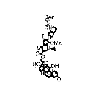 COc1c(N2CC3CCCN(C(=O)OCOC(C)=O)C3C2)c(F)cc2c(=O)c(C(=O)OCC(=O)[C@]3(O)[C@@H](C)C[C@@H]4[C@H]5CCC6=CC(=O)C=C[C@@]6(C)[C@]5(F)[C@H](O)C[C@]43C)cn(C3CC3)c12